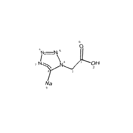 O=C(O)Cn1nnn[c]1[Na]